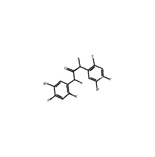 CC(C(=O)C(C)c1cc(Br)c(F)cc1F)c1cc(Br)c(F)cc1F